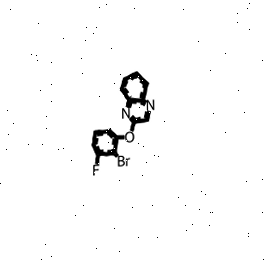 Fc1cccc(Oc2cnc3ccccc3n2)c1Br